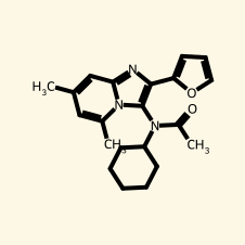 CC(=O)N(c1c(-c2ccco2)nc2cc(C)cc(C)n12)C1CCCCC1